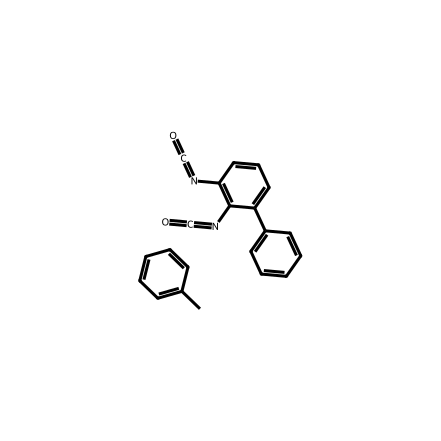 Cc1ccccc1.O=C=Nc1cccc(-c2ccccc2)c1N=C=O